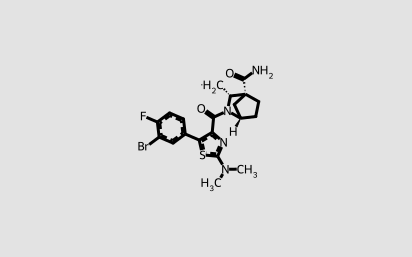 [CH2][C@H]1N(C(=O)c2nc(N(C)C)sc2-c2ccc(F)c(Br)c2)[C@H]2CC[C@@]1(C(N)=O)C2